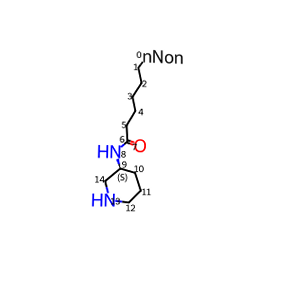 CCCCCCCCCCCCCCC(=O)N[C@H]1CCCNC1